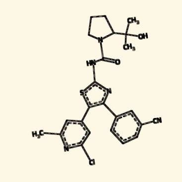 Cc1cc(-c2sc(NC(=O)N3CCCC3C(C)(C)O)nc2-c2cccc(C#N)c2)cc(Cl)n1